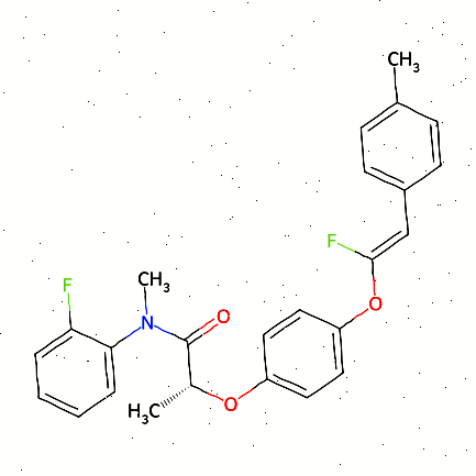 Cc1ccc(C=C(F)Oc2ccc(O[C@H](C)C(=O)N(C)c3ccccc3F)cc2)cc1